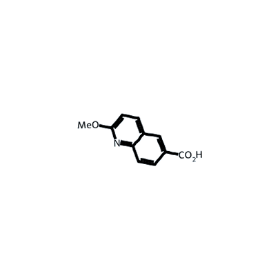 COc1ccc2cc(C(=O)O)ccc2n1